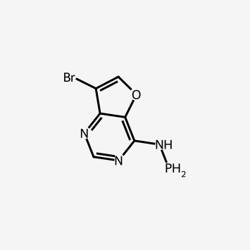 PNc1ncnc2c(Br)coc12